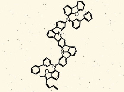 C=C/C=C\c1c(C)oc2c(N(c3cccc(-c4ccccc4)c3)c3ccc4c5cccc6c7cc8c(cc7n(c4c3)c56)c3cccc4c5ccc(N(c6cccc(-c7ccccc7)c6)c6cccc7c6oc6ccccc67)cc5n8c43)cccc12